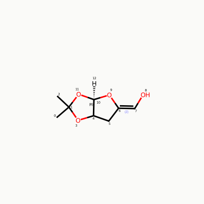 CC1(C)OC2C/C(=C/O)O[C@@H]2O1